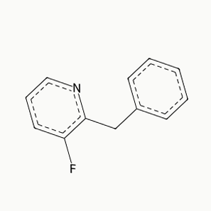 Fc1cccnc1Cc1ccccc1